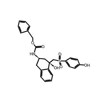 O=C(N[C@@H]1Cc2ccccc2[C@@](O)(CS(=O)(=O)c2ccc(O)cc2)C1)OCc1ccccc1